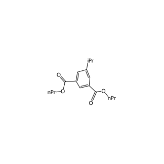 CCCOC(=O)c1cc(C(=O)OCCC)cc(C(C)C)c1